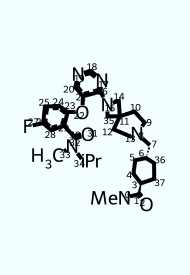 CNC(=O)[C@H]1CC[C@H](CN2CCC3(CC2)CN(c2ncncc2Oc2ccc(F)cc2C(=O)N(C)C(C)C)C3)CC1